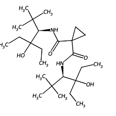 CCC(O)(CC)[C@H](NC(=O)C1(C(=O)N[C@H](C(C)(C)C)C(O)(CC)CC)CC1)C(C)(C)C